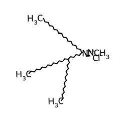 CCCCCCCCC=CCCCCCCCCC(CCCCC(CCCCCCCCCCCCCC)CCCCCCCCCCCCCC)[n+]1ccn(CC)c1.[Cl-]